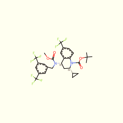 COC(=O)N(Cc1cc(C(F)(F)F)cc(C(F)(F)F)c1)[C@H]1C[C@@H](C2CC2)N(C(=O)OC(C)(C)C)c2ccc(C(F)(F)F)cc21